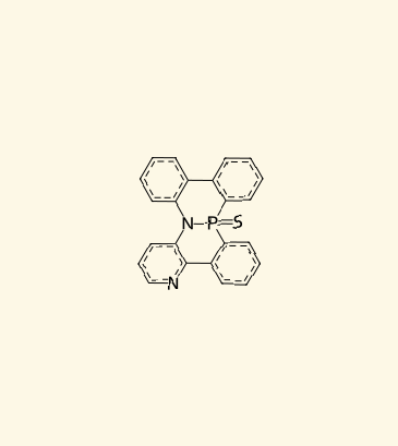 S=P12c3ccccc3-c3ccccc3N1c1cccnc1-c1ccccc12